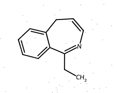 CCC1=NC=CCc2ccccc21